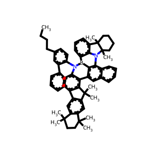 CCCCc1ccc(N2B3c4cccc5c4N(c4c3c(cc3ccccc43)-c3c2ccc2c3C(C)(C)c3cc4c(cc3-2)C(C)(C)CCC4(C)C)C2(C)CCCCC52C)c(-c2ccccc2)c1